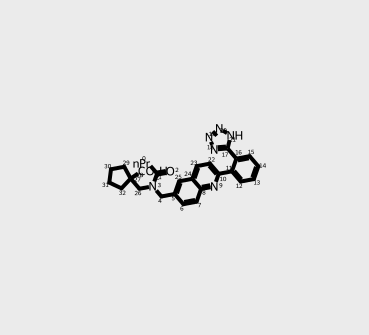 CCCC(=O)N(Cc1ccc2nc(-c3ccccc3-c3nnn[nH]3)ccc2c1)CC1(C(=O)O)CCCC1